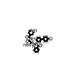 CCCCC(Sc1nc2ccccc2c(=O)n1-c1cccc(-c2ccc(Cl)cc2)c1)C(=O)NC(=O)C1CCNCC1